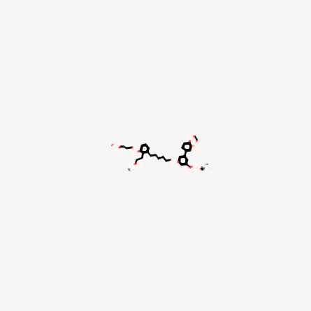 CCOC(=O)CCCOc1cccc(CCCCCCOc2cc(C(=O)OOC(C)(C)C)cc(-c3ccc4c(c3)OCCO4)c2)c1CCC(=O)OCC